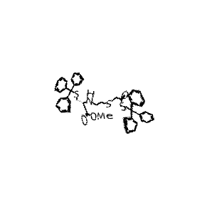 COC(=O)[C@H](CSC(c1ccccc1)(c1ccccc1)c1ccccc1)NCCSCC(=O)SC(c1ccccc1)(c1ccccc1)c1ccccc1